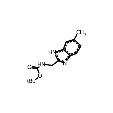 Cc1ccc2nc(CNC(=O)OC(C)(C)C)[nH]c2c1